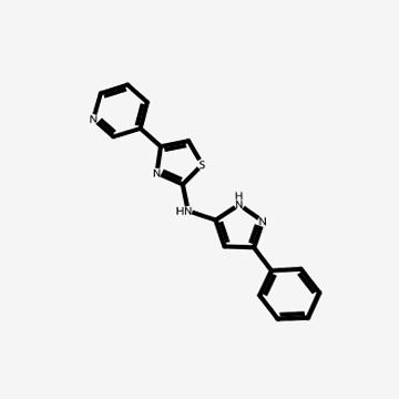 c1ccc(-c2cc(Nc3nc(-c4cccnc4)cs3)[nH]n2)cc1